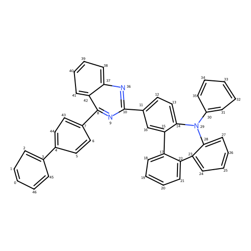 c1ccc(-c2ccc(-c3nc(-c4ccc5c(c4)-c4ccccc4-c4ccccc4N5c4ccccc4)nc4ccccc34)cc2)cc1